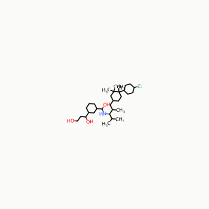 CC(C)[C@@H](NC(O)C1CCCC(C(O)CCO)C1)C(C)CC1CCC(C)(C2CCC(Cl)CC2)C(C)(C)C1